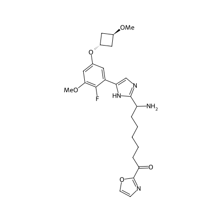 COc1cc(O[C@H]2C[C@H](OC)C2)cc(-c2cnc(C(N)CCCCCC(=O)c3ncco3)[nH]2)c1F